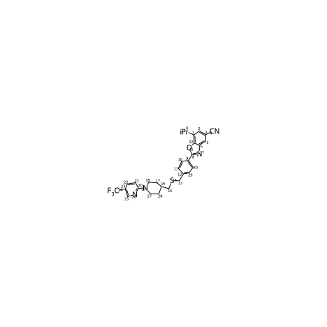 CC(C)c1cc(C#N)cc2nc(-c3ccc(CSCC4CCN(c5ccc(C(F)(F)F)cn5)CC4)cc3)oc12